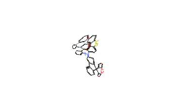 c1ccc(-c2ccccc2-c2ccccc2-c2ccccc2N(c2ccc3c(c2)-c2ccccc2C32c3ccccc3Oc3ccccc32)c2ccc3sc4ccccc4c3c2)cc1